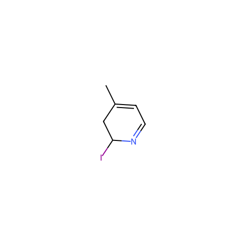 CC1=CC=NC(I)C1